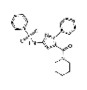 O=C(c1sc(NS(=O)(=O)c2ccccc2)nc1-c1ccccc1)N1CCCCC1